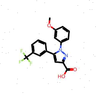 COc1cccc(-n2nc(C(=O)O)cc2-c2cccc(C(F)(F)F)c2)c1